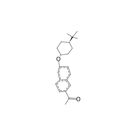 CC(=O)c1ccc2cc(O[C@H]3CC[C@H](C(C)(C)C)CC3)ccc2c1